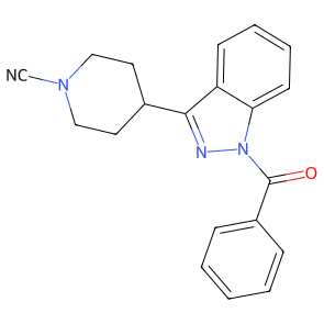 N#CN1CCC(c2nn(C(=O)c3ccccc3)c3ccccc23)CC1